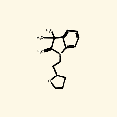 C=C1N(CCC2CCCO2)c2ccccc2C1(C)C